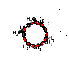 COCOC12CCC(C)(CC1)c1ccc(cc1)-c1ccc(cc1)C1(OCOC)CCC(OCOC)(CC1)c1ccc(cc1)-c1ccc(cc1)-c1ccc(cc1)C1(C)CCC(C)(CC1)c1ccc(cc1)-c1ccc(cc1)C1(C)CCC(C)(CC1)c1ccc(cc1)-c1ccc(cc1)-c1ccc2cc1